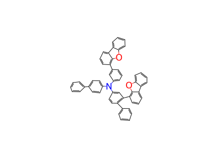 c1ccc(-c2ccc(N(c3cccc(-c4cccc5c4oc4ccccc45)c3)c3ccc(-c4ccccc4)c(-c4cccc5c4oc4ccccc45)c3)cc2)cc1